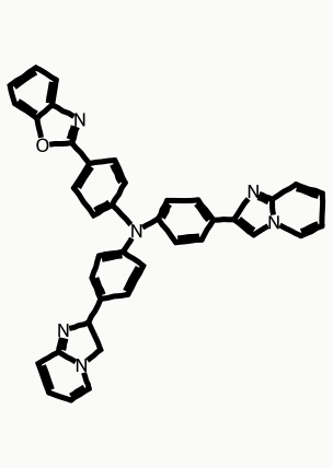 C1=CC2=NC(c3ccc(N(c4ccc(-c5cn6ccccc6n5)cc4)c4ccc(-c5nc6ccccc6o5)cc4)cc3)CN2C=C1